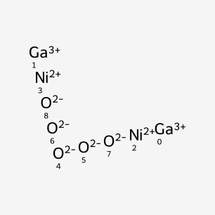 [Ga+3].[Ga+3].[Ni+2].[Ni+2].[O-2].[O-2].[O-2].[O-2].[O-2]